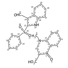 Cn1cc(C(=O)O)c(=O)c2ccccc21.O=Cc1c(S(=O)(=O)c2ccccc2)[nH]c2ccccc12